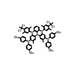 CCC(C)(CC)c1cc(C)c(N2c3cc(N(c4ccc(C(C)(C)C)cc4)c4ccc(C(C)(C)C)cc4)c(C)cc3B3c4cc(C)c(N(c5ccc(C(C)(C)C)cc5)c5ccc(C(C)(C)C)cc5)cc4N(c4cc(C)c(C(C)(CC)CC)cc4C)c4cccc2c43)cc1C